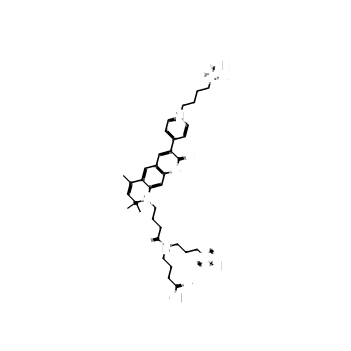 CC1=CC(C)(C)N(CCCC(=O)N(CCCC(=O)O)CCCS(=O)(=O)O)c2cc3oc(=O)c(-c4cc[n+](CCCCS(=O)(=O)O)cc4)cc3cc21